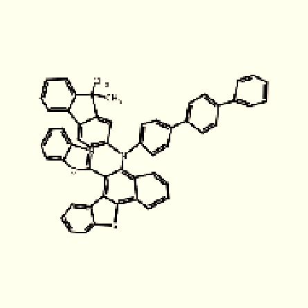 CC1(C)c2ccccc2-c2ccc(N(c3ccc(-c4ccc(-c5ccccc5)cc4)cc3)c3c(-c4nc5ccccc5o4)c4c5ccccc5sc4c4ccccc34)cc21